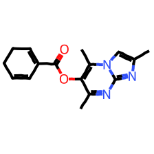 Cc1cn2c(C)c(OC(=O)C3=CCCC=C3)c(C)nc2n1